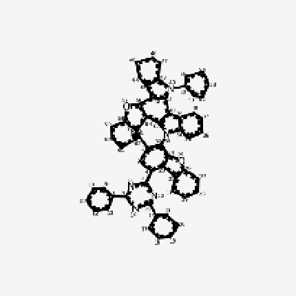 N#Cc1cc(-c2nc(-c3ccccc3)nc(-c3ccccc3)n2)c2c(oc3ccccc32)c1-n1c2ccccc2c2c3c(c4ccccc4n3-c3ccccc3)c3oc4ccccc4c3c21